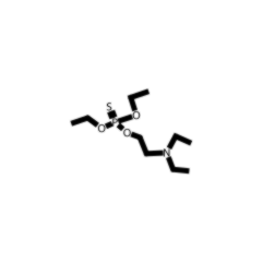 CCOP(=S)(OCC)OCCN(CC)CC